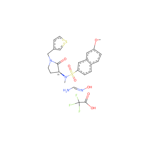 COc1ccc2ccc(S(=O)(=O)N(C)[C@H]3CCN(Cc4ccsc4)C3=O)cc2c1.NC=NO.O=C(O)C(F)(F)F